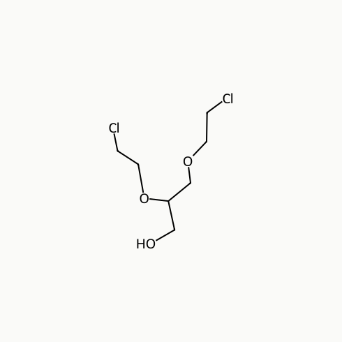 OCC(COCCCl)OCCCl